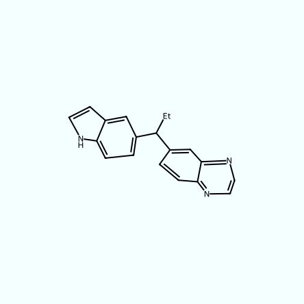 [CH2]CC(c1ccc2[nH]ccc2c1)c1ccc2nccnc2c1